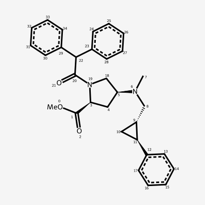 COC(=O)[C@@H]1C[C@H](N(C)C[C@H]2C[C@@H]2c2ccccc2)CN1C(=O)C(c1ccccc1)c1ccccc1